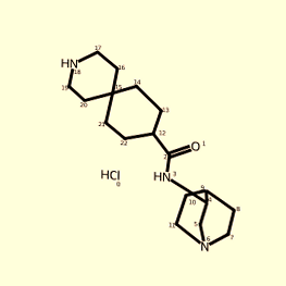 Cl.O=C(NC1CN2CCC1CC2)C1CCC2(CCNCC2)CC1